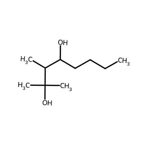 CCCCC(O)C(C)C(C)(C)O